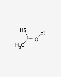 [CH2]COC(C)S